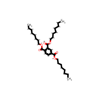 CCCCCCCCOC(=O)c1ccc(C(=O)OCCCCCCCC)c(C(=O)OCCCCCCCC)c1